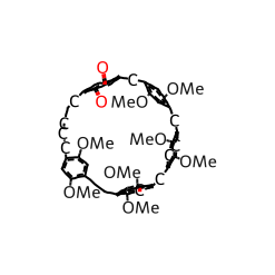 COc1cc2c(OC)cc1CCCCCC1=CC(=O)C(=CC1=O)Cc1cc(OC)c(cc1OC)Cc1cc(OC)c(cc1OC)Cc1cc(OC)c(cc1OC)C2